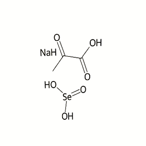 CC(=O)C(=O)O.O=[Se](O)O.[NaH]